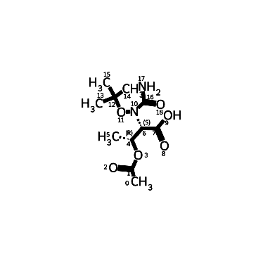 CC(=O)O[C@H](C)[C@@H](C(=O)O)N(OC(C)(C)C)C(N)=O